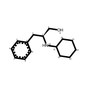 OC[C@H](Cc1ccccc1)NC1CCCCC1